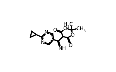 CC1(C)OC(=O)C(C(=N)c2cnc(C3CC3)nc2)C(=O)O1